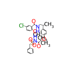 COc1ccc(Cl)cc1C(=O)NCC(C)c1ccc(OC(C)(C)C(=O)NS(=O)(=O)Cc2ccccc2)cc1